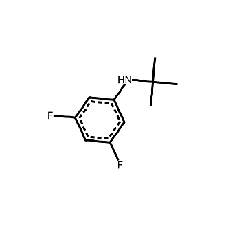 CC(C)(C)Nc1cc(F)cc(F)c1